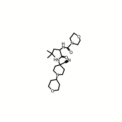 CC(C)(C)CC(NC(=O)N1CCOCC1)C(=O)NC1(C#N)CCN(C2CCOCC2)CC1